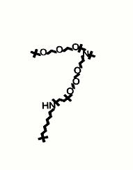 CC(C)(C)CCCCCCCCNC(C)(C)CCC(C)(C)COCCOCCOCCCCN(CC(C)(C)OCCCOCCCOCC(C)(C)C)C(C)(C)C